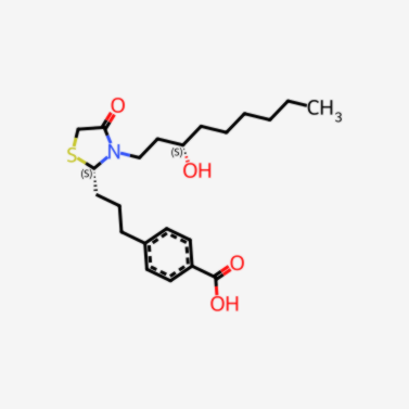 CCCCCC[C@H](O)CCN1C(=O)CS[C@H]1CCCc1ccc(C(=O)O)cc1